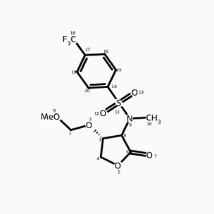 COCO[C@H]1COC(=O)C1N(C)S(=O)(=O)c1ccc(C(F)(F)F)cc1